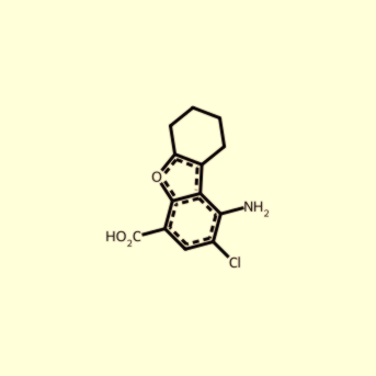 Nc1c(Cl)cc(C(=O)O)c2oc3c(c12)CCCC3